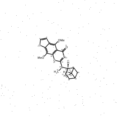 COc1c2occc2c(OC)c2c(=O)nc(N(C)[C@H]3CCC4CC3C4(C)C)oc12